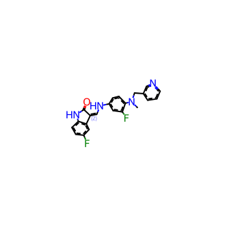 CN(Cc1cccnc1)c1ccc(N/C=C2\C(=O)Nc3ccc(F)cc32)cc1F